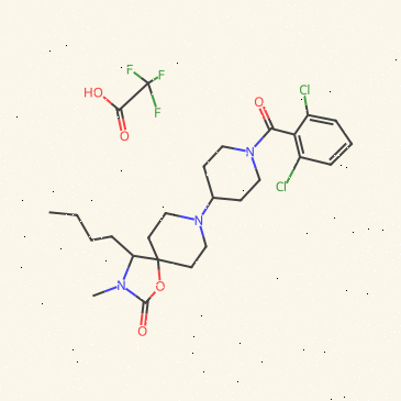 CCCCC1N(C)C(=O)OC12CCN(C1CCN(C(=O)c3c(Cl)cccc3Cl)CC1)CC2.O=C(O)C(F)(F)F